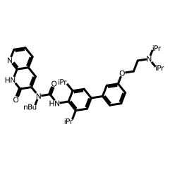 CCCCN(C(=O)Nc1c(C(C)C)cc(-c2cccc(OCCN(C(C)C)C(C)C)c2)cc1C(C)C)c1cc2cccnc2[nH]c1=O